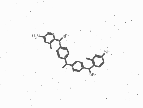 CCCC(c1ccc(C(C)c2ccc(C(CCC)c3ccc(N)cc3C)cc2)cc1)c1ccc(N)cc1C